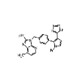 CCCc1nc2c(C)ccnc2n1Cc1ccc(-c2c(-c3nnn[nH]3)ccn2CCC)cc1